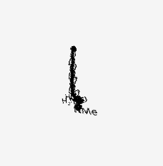 CNc1ccc(-c2cc(=O)c3ccc(NC(=O)CCOCCOCCOCCOCCOCCOCc4ccccc4)c(N)c3o2)cc1